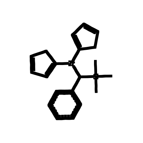 C[Si](C)(C)[CH](c1ccccc1)[Zr]([C]1=CC=CC1)[C]1=CC=CC1